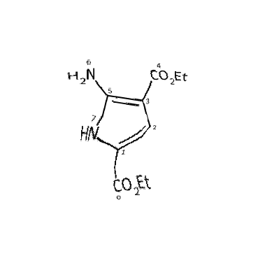 CCOC(=O)c1cc(C(=O)OCC)c(N)[nH]1